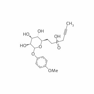 CC#CCP(=O)(O)CC[C@H]1OC(Oc2ccc(OC)cc2)[C@@H](O)[C@@H](O)[C@@H]1O